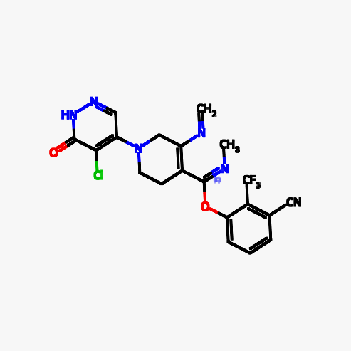 C=NC1=C(/C(=N\C)Oc2cccc(C#N)c2C(F)(F)F)CCN(c2cn[nH]c(=O)c2Cl)C1